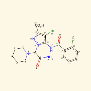 NC(=O)C(N1CCCCC1)n1nc(C(=O)O)c(Br)c1NC(=O)c1ccccc1Cl